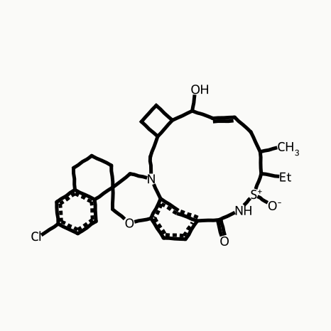 CCC1C(C)C/C=C/C(O)C2CCC2CN2CC3(CCCc4cc(Cl)ccc43)COc3ccc(cc32)C(=O)N[S+]1[O-]